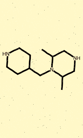 CC1CNCC(C)N1CC1CCNCC1